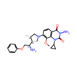 COc1c(N2C[C@H]([C@@H](N)COc3ccccc3)[C@H](C)C2)ccc2c(=O)n(N)c(=O)n(C3CC3)c12